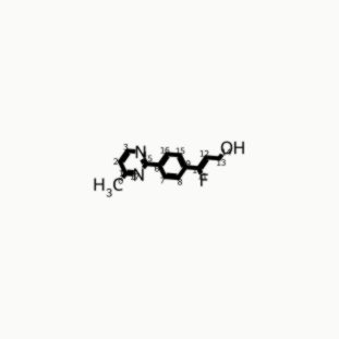 Cc1ccnc(-c2ccc(/C(F)=C/CO)cc2)n1